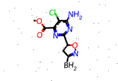 BC1=NOC(c2nc(N)c(Cl)c(C(=O)OC)n2)C1